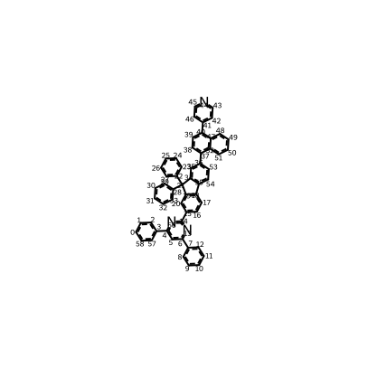 c1ccc(-c2cc(-c3ccccc3)nc(-c3ccc4c(c3)C(c3ccccc3)(c3ccccc3)c3cc(-c5ccc(-c6ccncc6)c6ccccc56)ccc3-4)n2)cc1